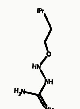 CC(C)CCONNC(=N)N